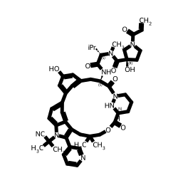 C=CC(=O)N1CC[C@](O)(C(=O)N(C)[C@H](C(=O)N[C@H]2Cc3cc(O)cc(c3)-c3ccc4c(c3)c(c(-c3cccnc3)n4C(C)(C)C#N)CC(C)(C)COC(=O)[C@@H]3CCCN(N3)C2=O)C(C)C)C1